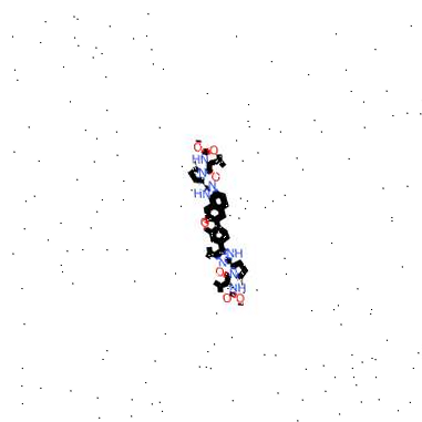 COC(=O)N[C@H](C(=O)N1[C@@H](C)CC[C@H]1c1nc(C(C)C)c(-c2ccc3c(c2)COc2cc4c(ccc5nc([C@@H]6CC[C@H](C)N6C(=O)[C@@H](NC(=O)OC)C(C)C)[nH]c54)cc2-3)[nH]1)C(C)C